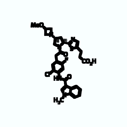 COC1CN([C@H]2C[C@@H](c3ncc(CCC(=O)O)s3)N(C(=O)Cc3cc(Cl)c(NC(=O)c4cn(C)c5ccccc45)cc3F)C2)C1